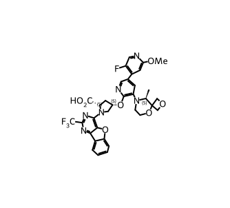 COc1cc(-c2cnc(O[C@H]3C[C@@H](C(=O)O)N(c4nc(C(F)(F)F)nc5c4oc4ccccc45)C3)c(N3CCOC4(COC4)[C@@H]3C)c2)c(F)cn1